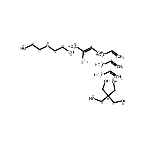 C=CC(=O)O.C=CC(=O)O.C=CC(=O)O.CC=C(C)C(=O)O.OCC(CO)(CO)CO.OCCOCCO